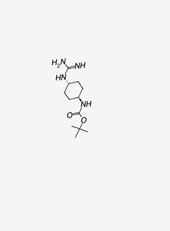 CC(C)(C)OC(=O)N[C@H]1CC[C@H](NC(=N)N)CC1